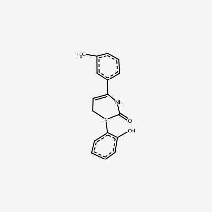 Cc1cccc(C2=CCN(c3ccccc3O)C(=O)N2)c1